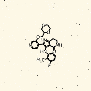 Cc1c(F)cccc1Nc1c(-c2ccncc2OCC2COCCO2)[nH]c2c1C(=O)NCC2